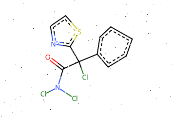 O=C(N(Cl)Cl)C(Cl)(c1ccccc1)c1nccs1